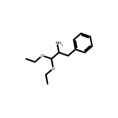 CCOC(OCC)C(N)Cc1ccccc1